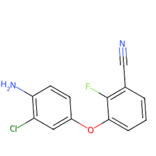 N#Cc1cccc(Oc2ccc(N)c(Cl)c2)c1F